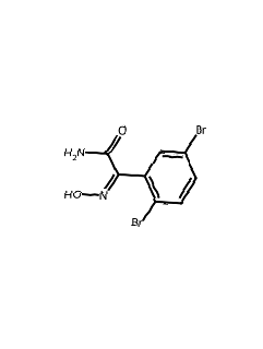 NC(=O)C(=NO)c1cc(Br)ccc1Br